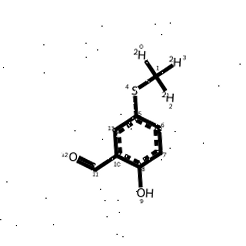 [2H]C([2H])([2H])Sc1ccc(O)c(C=O)c1